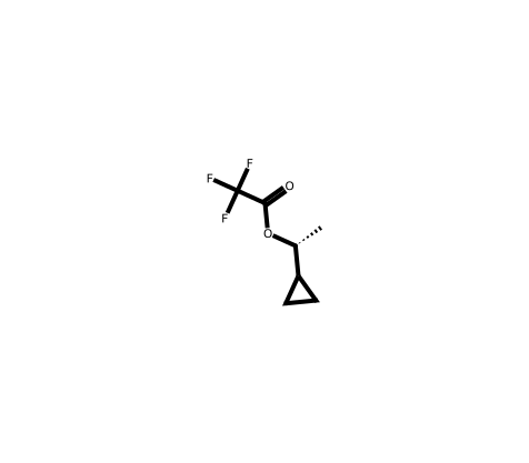 C[C@@H](OC(=O)C(F)(F)F)C1CC1